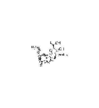 CC#C[C@@]1(F)[C@@H](O)[C@@H]([C@@H](C)O)O[C@H]1n1cnc2c(=S)[nH]c(N=NN)nc21